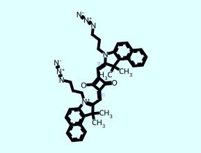 CC1(C)C(/C=C2/C(=O)C(/C=C3/N(CCCN=[N+]=[N-])c4ccc5ccccc5c4C3(C)C)=C2[O-])=[N+](CCCN=[N+]=[N-])c2ccc3ccccc3c21